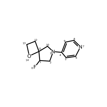 FC1CN(c2ccncc2)CC12CCO2